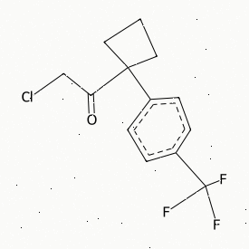 O=C(CCl)C1(c2ccc(C(F)(F)F)cc2)CCC1